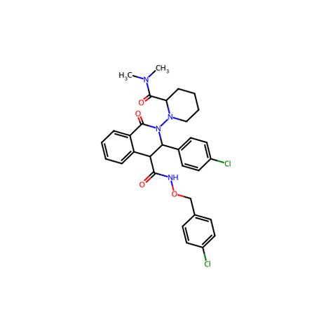 CN(C)C(=O)C1CCCCN1N1C(=O)c2ccccc2C(C(=O)NOCc2ccc(Cl)cc2)C1c1ccc(Cl)cc1